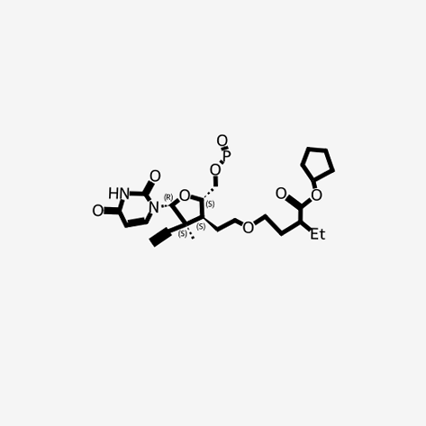 C#C[C@]1(C)[C@H](CCOCCC(CC)C(=O)OC2CCCC2)[C@@H](COP=O)O[C@H]1n1ccc(=O)[nH]c1=O